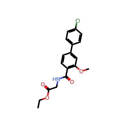 CCOC(=O)CNC(=O)c1ccc(-c2ccc(Cl)cc2)cc1OC